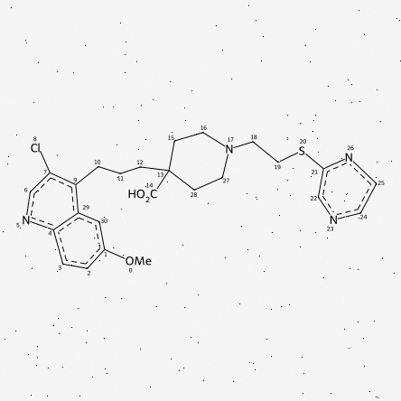 COc1ccc2ncc(Cl)c(CCCC3(C(=O)O)CCN(CCSc4cnccn4)CC3)c2c1